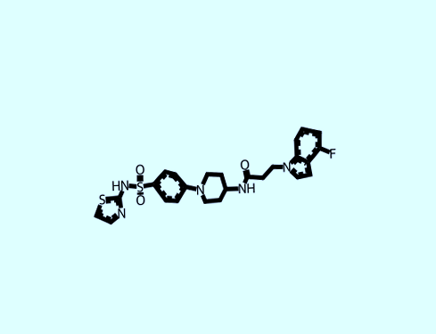 O=C(CCn1ccc2c(F)cccc21)NC1CCN(c2ccc(S(=O)(=O)Nc3nccs3)cc2)CC1